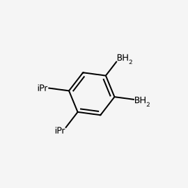 Bc1cc(C(C)C)c(C(C)C)cc1B